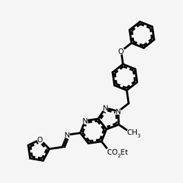 CCOC(=O)c1cc(/N=C/c2ccco2)nc2nn(Cc3ccc(Oc4ccccc4)cc3)c(C)c12